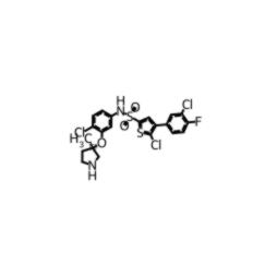 C[C@]1(Oc2cc(NS(=O)(=O)c3cc(-c4ccc(F)c(Cl)c4)c(Cl)s3)ccc2Cl)CCNC1